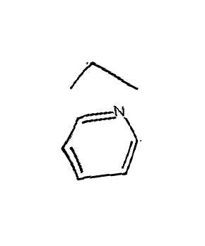 C[CH]C.[c]1ccccn1